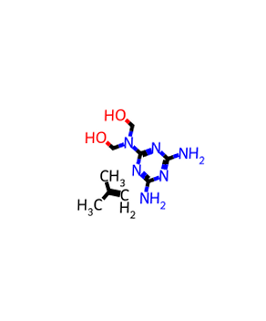 C=C(C)C.Nc1nc(N)nc(N(CO)CO)n1